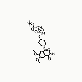 COc1cc2c(N3CCC(CNS(=O)(=O)NC(=O)OC(C)(C)C)CC3)n[nH]c(=O)c2cc1OC